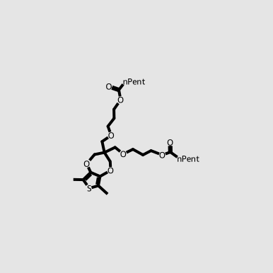 CCCCCC(=O)OCCCOCC1(COCCCOC(=O)CCCCC)COc2c(C)sc(C)c2OC1